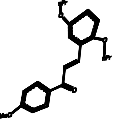 CCCOc1ccc(OCCC)c(C=CC(=O)c2ccc(OC)cc2)c1